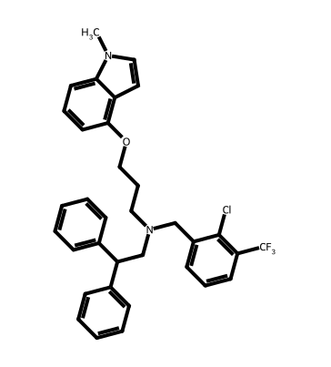 Cn1ccc2c(OCCCN(Cc3cccc(C(F)(F)F)c3Cl)CC(c3ccccc3)c3ccccc3)cccc21